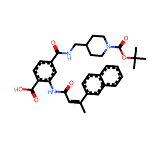 C/C(=C/C(=O)Nc1cc(C(=O)NCC2CCN(C(=O)OC(C)(C)C)CC2)ccc1C(=O)O)c1ccc2ccccc2c1